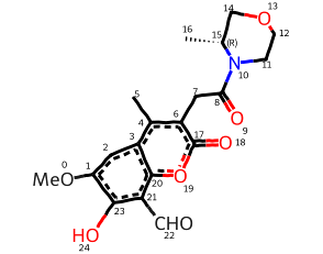 COc1cc2c(C)c(CC(=O)N3CCOC[C@H]3C)c(=O)oc2c(C=O)c1O